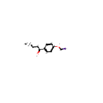 O=C(O)CCC(=O)c1ccc(OCI)cc1